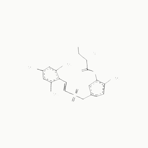 COc1cc(OC)c(/C=C/S(=O)(=O)Cc2ccc(OC)c(OC(=O)[C@@H](N)CO)c2)c(OC)c1